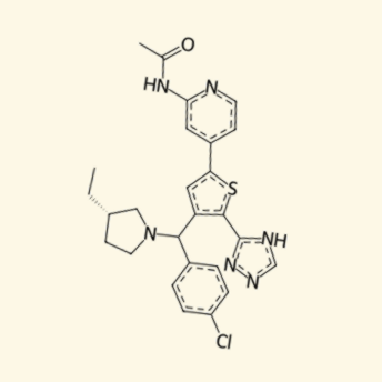 CC[C@H]1CCN(C(c2ccc(Cl)cc2)c2cc(-c3ccnc(NC(C)=O)c3)sc2-c2nnc[nH]2)C1